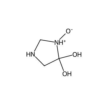 [O-][NH+]1CNCC1(O)O